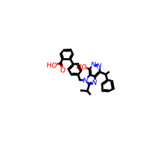 CC(C)c1nc2c(C(C)c3ccccc3)nnc(O)c2n1Cc1ccc(-c2ccccc2C(=O)O)cc1